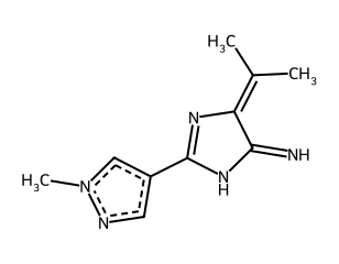 CC(C)=C1N=C(c2cnn(C)c2)NC1=N